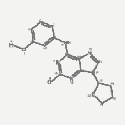 CCOc1cccc(Nc2nc(Cl)nc3c2ncn3C2CCCO2)c1